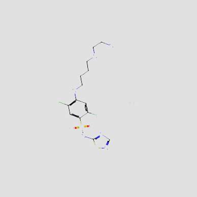 C[C@H](N)CNCCCCNc1cc(F)c(S(=O)(=O)Nc2ncns2)cc1Cl.Cl.Cl